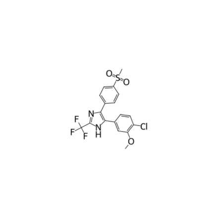 COc1cc(-c2[nH]c(C(F)(F)F)nc2-c2ccc(S(C)(=O)=O)cc2)ccc1Cl